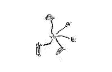 [Br][Yb]([Br])([Br])([Br])[Br]